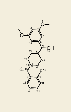 COc1cc(OC)cc(C(O)C2CCN(C(C)c3ccccc3F)CC2)c1